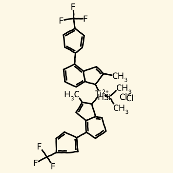 CC1=Cc2c(-c3ccc(C(F)(F)F)cc3)cccc2[CH]1[Ti+2]([CH]1C(C)=Cc2c(-c3ccc(C(F)(F)F)cc3)cccc21)[SiH](C)C.[Cl-].[Cl-]